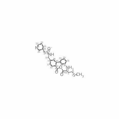 CSCC[C@H](N)C(=O)OC(=O)c1ccc(CN[S+]([O-])Sc2cccnc2)cc1-c1ccccc1